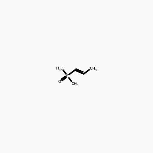 CC=CP(C)(C)=O